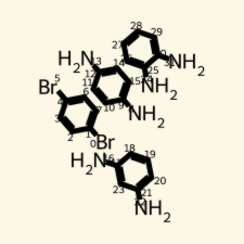 Brc1ccc(Br)cc1.Nc1ccc(N)cc1.Nc1cccc(N)c1.Nc1ccccc1N